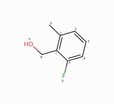 Cc1cccc(F)c1CO